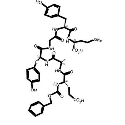 CSCC[C@H](NC(=O)[C@H](Cc1ccc(O)cc1)NC(=O)CNC(=O)[C@H](Cc1ccc(O)cc1)NC(=O)[C@H](C)NC(=O)[C@H](CCC(=O)O)NC(=O)OCc1ccccc1)C(=O)O